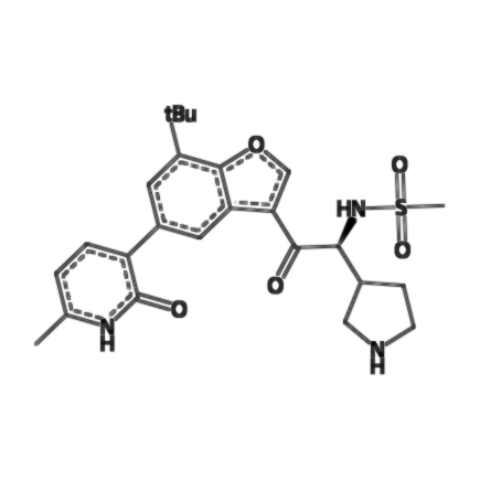 Cc1ccc(-c2cc(C(C)(C)C)c3occ(C(=O)[C@@H](NS(C)(=O)=O)C4CCNC4)c3c2)c(=O)[nH]1